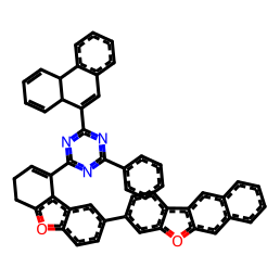 C1=CC2C(c3nc(C4=CCCc5oc6ccc(-c7ccc8c(c7)oc7cc9ccccc9cc78)cc6c54)nc(-c4ccccc4)n3)=Cc3ccccc3C2C=C1